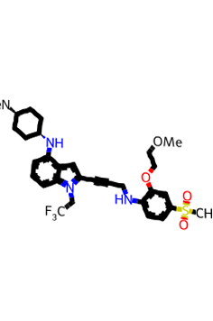 CN[C@H]1CC[C@H](Nc2cccc3c2cc(C#CCNc2ccc(S(C)(=O)=O)cc2OCCOC)n3CC(F)(F)F)CC1